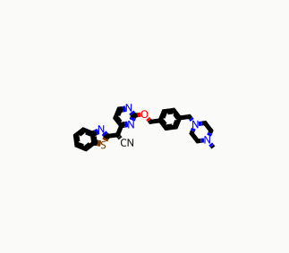 CN1CCN(Cc2ccc(COc3nccc(C(C#N)c4nc5ccccc5s4)n3)cc2)CC1